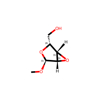 CO[C@H]1O[C@H](CO)[C@@H]2O[C@H]12